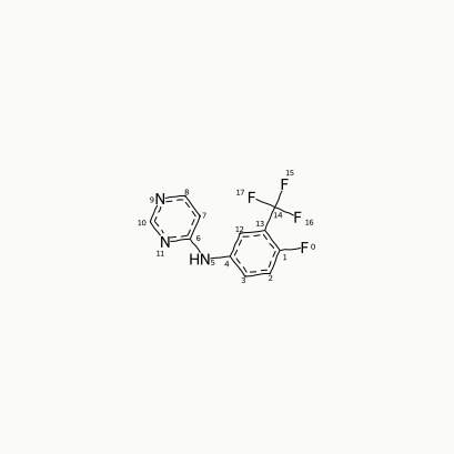 Fc1ccc(Nc2ccncn2)cc1C(F)(F)F